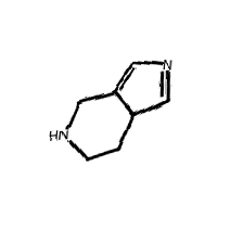 C1=NC=C2CNCCC12